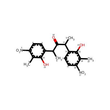 Cc1c([N+](=O)[O-])ccc(C(C)C(=O)C(C)c2ccc([N+](=O)[O-])c(C)c2O)c1O